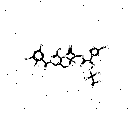 CC(C)(O/N=C(\C(=O)NC1C(=O)N2C(C(=O)O)=C(CNC(=O)c3cc(Br)cc(O)c3O)CS[C@@H]12)c1csc(N)n1)C(=O)O